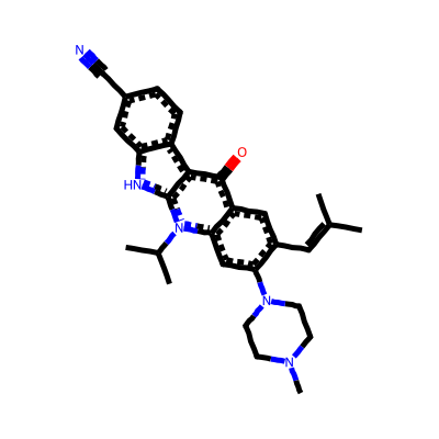 CC(C)=Cc1cc2c(=O)c3c4ccc(C#N)cc4[nH]c3n(C(C)C)c2cc1N1CCN(C)CC1